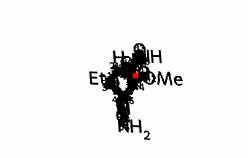 CCC1=C(C)c2cc3[nH]c(cc4nc(c5c6[nH]c(cc1n2)c(C)c6C(=O)N(CCN1CCNC(=O)C1)C5=O)[C@@H](CCC(=O)OC)[C@@H]4C)c(C)c3C(C)OCCOCCN